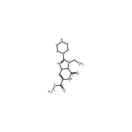 CCN1C(N2CCNCC2)=NC2C=C(C(=O)OC)NC(=O)C21